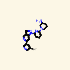 CC(C)c1cncc(-c2cc3c(cn2)cnn3-c2cccc(N3CCCC(N)C3)n2)c1